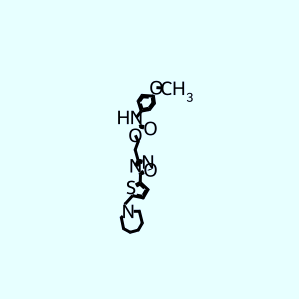 COc1ccc(NC(=O)OCCc2noc(-c3ccc(CN4CCCCCC4)s3)n2)cc1